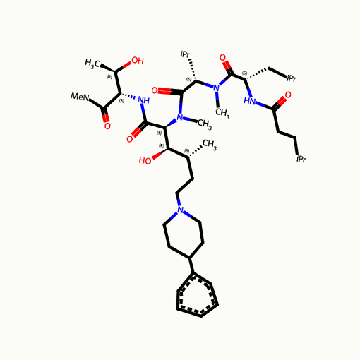 CNC(=O)[C@@H](NC(=O)[C@H]([C@H](O)[C@H](C)CCN1CCC(c2ccccc2)CC1)N(C)C(=O)[C@H](C(C)C)N(C)C(=O)[C@H](CC(C)C)NC(=O)CCC(C)C)[C@@H](C)O